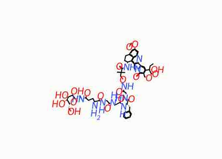 CC[C@@]1(O)C(=O)OCc2c1cc1n(c2=O)Cc2c-1nc1cc3c(c4c1c2[C@@H](NC(=O)C(C)(C)COCNC(=O)CNC(=O)[C@H](Cc1ccccc1)NC(=O)CNC(=O)CNC(=O)[C@@H](N)CCC(=O)NC[C@@H]1O[C@H](CO)[C@@H](O)[C@H](O)[C@H]1O)CC4)OCO3